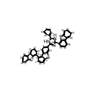 c1ccc(C2NC(c3ccc4c(c3)sc3cccc(-c5cccc6c5oc5ccccc56)c34)=NC(c3cccc4c3sc3ccccc34)N2)cc1